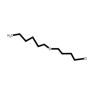 CCCCCCOCCCCCl